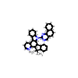 CC1(C)c2ccccc2-c2c1c1ncccc1c1c3ccccc3n(-c3ncc4ccc5ccccc5c4n3)c21